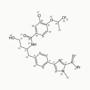 CC(C)C(=O)c1nc(-c2ccc(CC(CCO)NC(=O)c3ccc(OC(C)C(F)(F)F)c(Cl)c3)cc2)cn1C